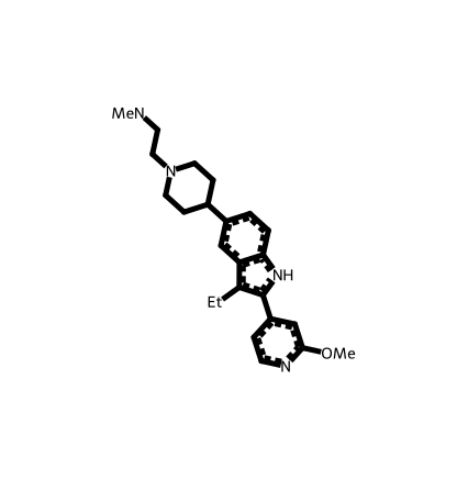 CCc1c(-c2ccnc(OC)c2)[nH]c2ccc(C3CCN(CCNC)CC3)cc12